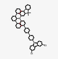 CCc1ccc2c(c1)c1cc(CC)ccc1n2-c1ccc(-c2ccc(-c3ccc(N(c4ccc5c(c4)C(C)(C)c4ccccc4-5)c4c(-c5ccccc5)cccc4-c4ccccc4)cc3)cc2)cc1